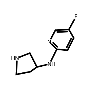 Fc1ccc(NC2CCNC2)nc1